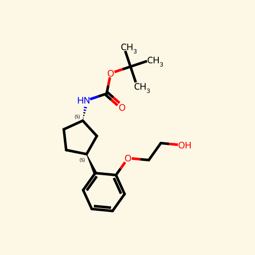 CC(C)(C)OC(=O)N[C@H]1CC[C@H](c2ccccc2OCCO)C1